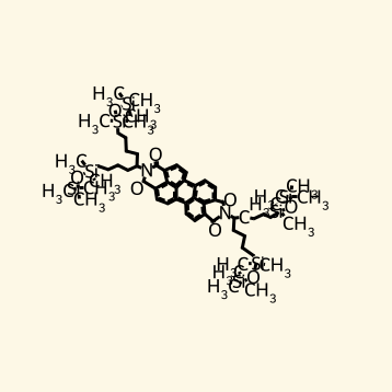 C[Si](C)(C)O[Si](C)(C)CCCCC(CCCC[Si](C)(C)O[Si](C)(C)C)N1C(=O)c2ccc3c4ccc5c6c(ccc(c7ccc(c2c37)C1=O)c64)C(=O)N(C(CCCC[Si](C)(C)O[Si](C)(C)C)CCCC[Si](C)(C)O[Si](C)(C)C)C5=O